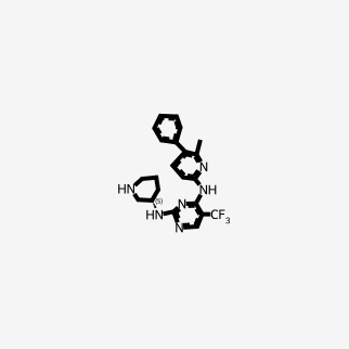 Cc1nc(Nc2nc(N[C@H]3CCCNC3)ncc2C(F)(F)F)ccc1-c1ccccc1